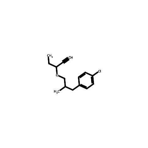 C#CC(CC)OCC(C)Cc1ccc(Cl)cc1